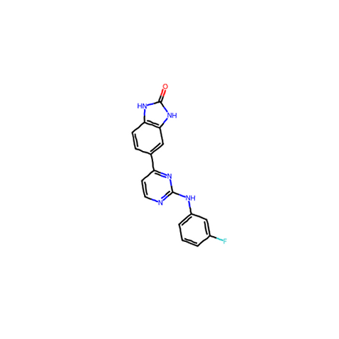 O=c1[nH]c2ccc(-c3ccnc(Nc4cccc(F)c4)n3)cc2[nH]1